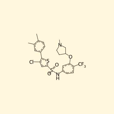 Cc1ccc(-c2sc(S(=O)(=O)Nc3ccc(C(F)(F)F)c(OC4CCN(C)C4)c3)cc2Cl)cc1C